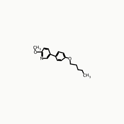 CCCCCOc1ccc(-c2ccc(OC)nc2)cc1